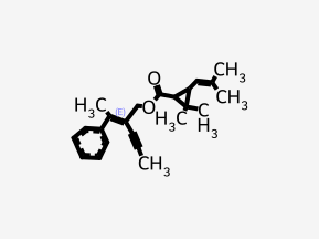 CC#C/C(COC(=O)C1C(C=C(C)C)C1(C)C)=C(/C)c1ccccc1